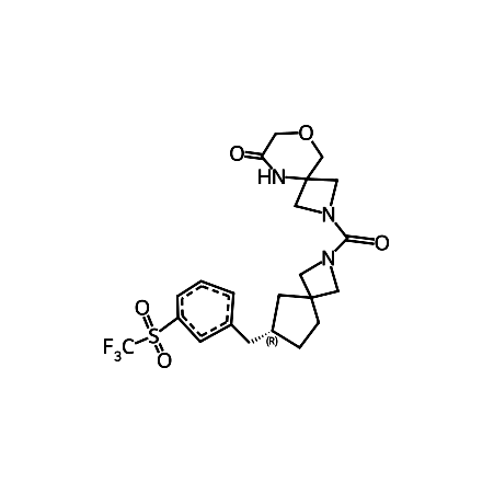 O=C1COCC2(CN(C(=O)N3CC4(CC[C@H](Cc5cccc(S(=O)(=O)C(F)(F)F)c5)C4)C3)C2)N1